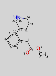 COC(=O)Cc1ccccc1C1CCCNC1